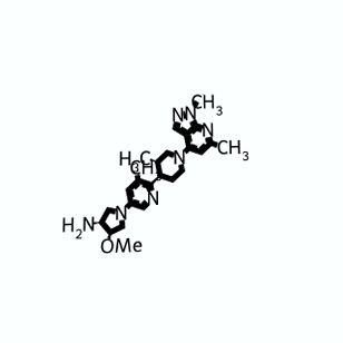 CO[C@@H]1CN(c2cnc([C@@H]3CCN(c4cc(C)nc5c4cnn5C)C[C@H]3C)c(C)c2)C[C@H]1N